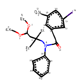 CCOC(OCC)C(CC)(CC)N(C(=O)c1cc(I)cc([N+](=O)[O-])c1)c1ccccc1